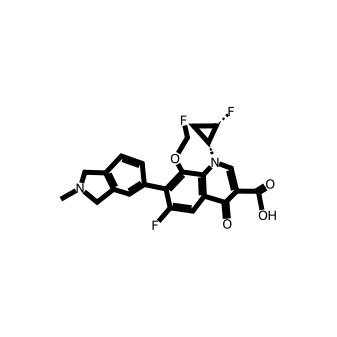 CN1Cc2ccc(-c3c(F)cc4c(=O)c(C(=O)O)cn([C@@H]5C[C@@H]5F)c4c3OCF)cc2C1